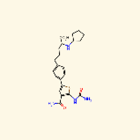 NC(=O)Nc1sc(-c2ccc(CCC[C@H](NC3CCCC3)C(=O)O)cc2)cc1C(N)=O